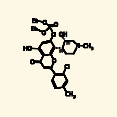 CCOP(=O)(OCC)Oc1cc(O)c2c(=O)cc(-c3ccc(C)cc3Cl)oc2c1[C@H]1CCN(C)C[C@H]1O